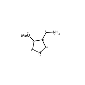 COC1C[N]CC1CN